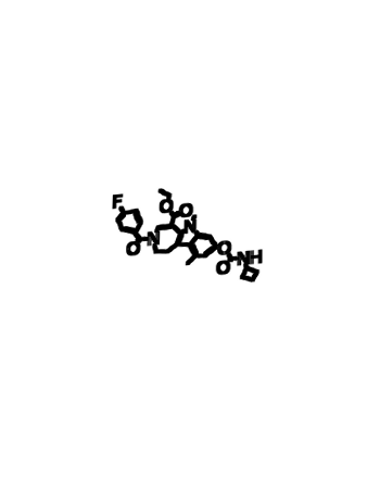 CCOC(=O)C1=CN(C(=O)c2ccc(F)cc2)CCc2c1n(C)c1cc(OC(=O)NC3CCC3)cc(C)c21